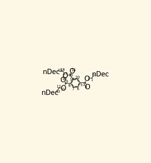 CCCCCCCCCCCOC(=O)c1ccc(C(=O)OCCCCCCCCCCC)c(C(=O)OCCCCCCCCCCC)c1